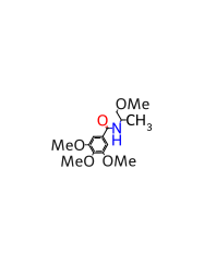 COCC(C)NC(=O)c1cc(OC)c(OC)c(OC)c1